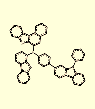 c1ccc(-n2c3ccccc3c3ccc(-c4ccc(N(c5cccc6c5oc5ccccc56)c5cc6ccccc6c6c5oc5ccccc56)cc4)cc32)cc1